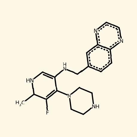 CC1NC=C(NCc2ccc3nccnc3c2)C(N2CCNCC2)=C1F